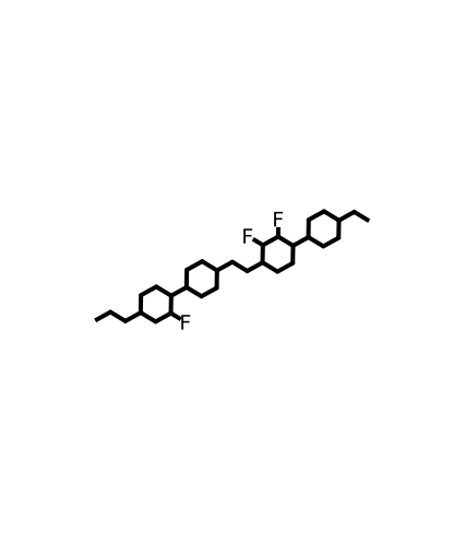 CCCC1CCC(C2CCC(CCC3CCC(C4CCC(CC)CC4)C(F)C3F)CC2)C(F)C1